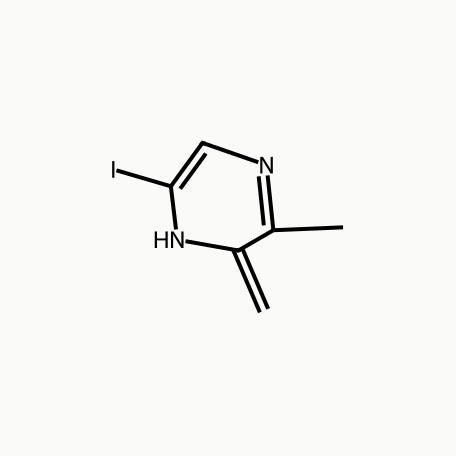 C=C1NC(I)=CN=C1C